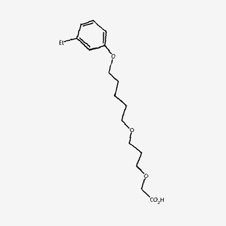 CCc1cccc(OCCCCCOCCCOCC(=O)O)c1